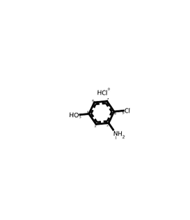 Cl.Nc1cc(O)ccc1Cl